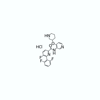 Cl.O=C(Nc1cnccc1OC1CCCNC1)c1ccc(F)c(-c2c(F)cccc2F)n1